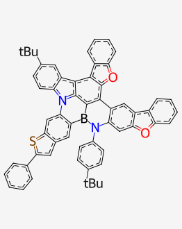 CC(C)(C)c1ccc(N2B3c4cc5cc(-c6ccccc6)sc5cc4-n4c5ccc(C(C)(C)C)cc5c5c6c(oc7ccccc76)c(c3c54)-c3cc4c(cc32)oc2ccccc24)cc1